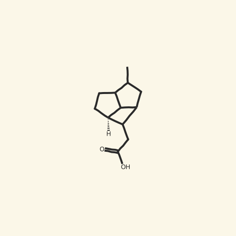 CC1CC2C(CC(=O)O)[C@H]3CCC1C23